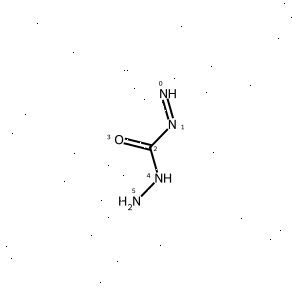 N=NC(=O)NN